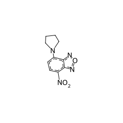 O=[N+]([O-])c1ccc(N2CCCC2)c2nonc12